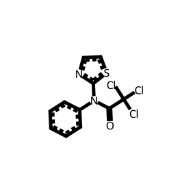 O=C(N(c1ccccc1)c1nccs1)C(Cl)(Cl)Cl